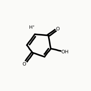 O=C1C=CC(=O)C(O)=C1.[H+]